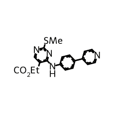 CCOC(=O)c1cnc(SC)nc1Nc1ccc(-c2ccncc2)cc1